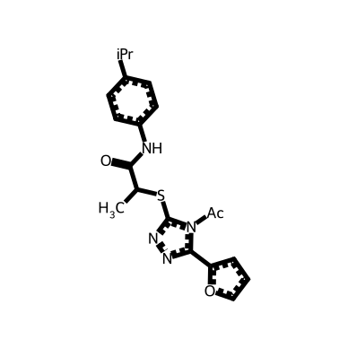 CC(=O)n1c(SC(C)C(=O)Nc2ccc(C(C)C)cc2)nnc1-c1ccco1